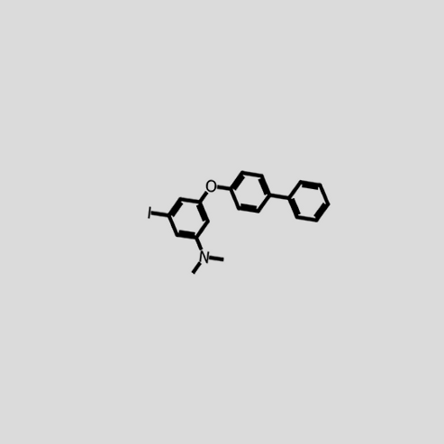 CN(C)c1cc(I)cc(Oc2ccc(-c3ccccc3)cc2)c1